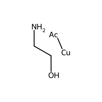 C[C](=O)[Cu].NCCO